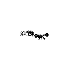 COc1ccc2c(Oc3ccc(NC(=O)C(NCCc4ccccc4)C(C)C)cc3)ccnc2c1OC